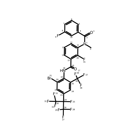 CN(C(=O)c1cccc(F)c1)c1cccc(C(=O)Nc2c(Br)cc(C(F)(C(F)(F)F)C(F)(F)F)cc2C(F)(F)F)c1F